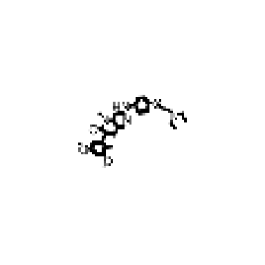 CCN(CC)CCOc1ccc(Nc2cc3c(cn2)cc(-c2cc(OC)cc(OC)c2C)c(=O)n3C)cc1